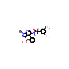 CCn1ncc2c(-c3ccccc3CO)c(N(C)C(=O)C(C)(C)c3cc(C(F)(F)F)cc(C(F)(F)F)c3)cnc21